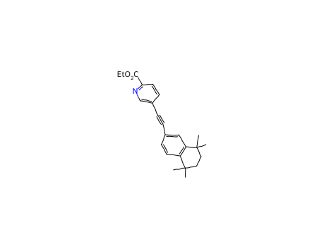 CCOC(=O)c1ccc(C#Cc2ccc3c(c2)C(C)(C)CCC3(C)C)cn1